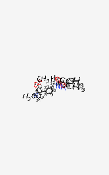 COC(=O)c1cc(-c2cccc(CNC(=O)OC(C)(C)C)c2)c2ccn(C)c2c1